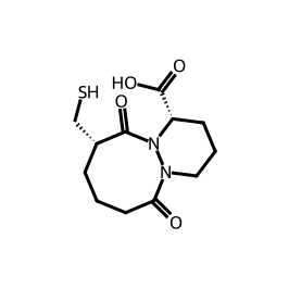 O=C(O)[C@@H]1CCCN2C(=O)CCC[C@H](CS)C(=O)N12